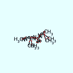 CCCCCCCCC1(CCCCCCCC)c2cc(C)ccc2-c2ccc(-c3ncc(-c4cc(-c5cnc(-c6ccc7c(c6)C(CCCCCCCC)(CCCCCCCC)c6cc(-c8ccc(-c9ccc(C)cn9)nc8)ccc6-7)nc5)cc(-n5c6ccccc6c6ccccc65)c4)cn3)cc21